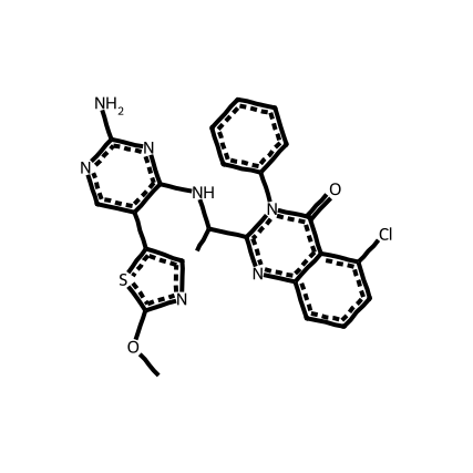 COc1ncc(-c2cnc(N)nc2NC(C)c2nc3cccc(Cl)c3c(=O)n2-c2ccccc2)s1